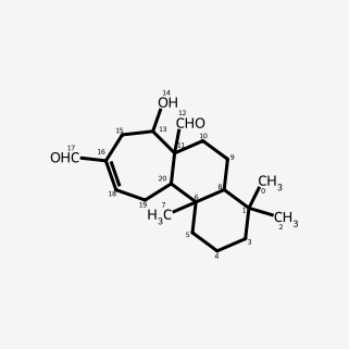 CC1(C)CCCC2(C)C1CCC1(C=O)C(O)CC(C=O)=CCC21